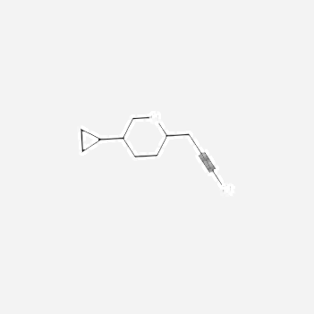 CCC#CCC1CCC(C2CC2)CO1